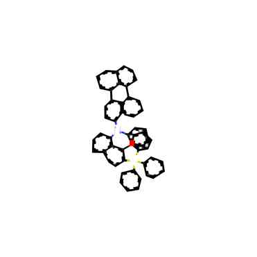 c1ccc(-c2cccc3cccc(-c4ccc(N(c5ccccc5)c5cccc6ccc7c(c56)-c5ccccc5S7(c5ccccc5)c5ccccc5)cc4)c23)cc1